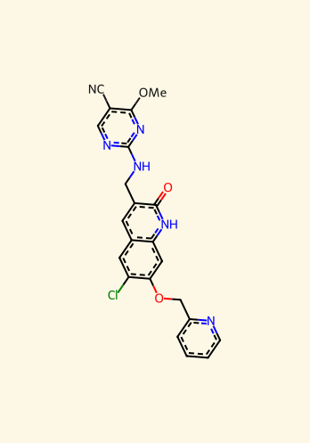 COc1nc(NCc2cc3cc(Cl)c(OCc4ccccn4)cc3[nH]c2=O)ncc1C#N